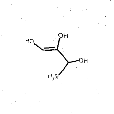 OC=C(O)C(O)[SiH3]